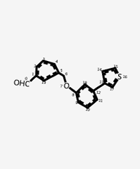 O=Cc1cccc(COc2cccc(-c3ccsc3)c2)c1